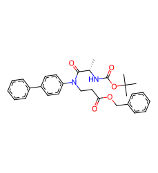 C[C@H](NC(=O)OC(C)(C)C)C(=O)N(CCC(=O)OCc1ccccc1)c1ccc(-c2ccccc2)cc1